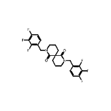 O=C1N(Cc2ccc(F)c(F)c2F)CCCC12CCCN(Cc1ccc(F)c(F)c1F)C2=O